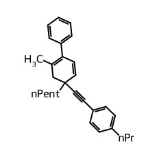 CCCCCC1(C#Cc2ccc(CCC)cc2)C=CC(c2ccccc2)=C(C)C1